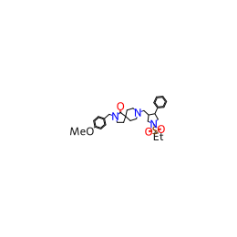 CCS(=O)(=O)N1CC(CN2CCC3(CC2)CCN(Cc2ccc(OC)cc2)C3=O)C(c2ccccc2)C1